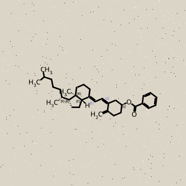 C=C1CC[C@H](OC(=O)c2ccccc2)C/C1=C/C=C1\CCC[C@]2(C)[C@@H]([C@H](C)CCCC(C)C)CC[C@@H]12